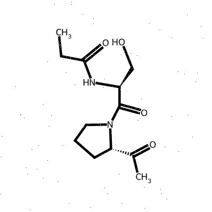 CCC(=O)N[C@@H](CO)C(=O)N1CCC[C@H]1C(C)=O